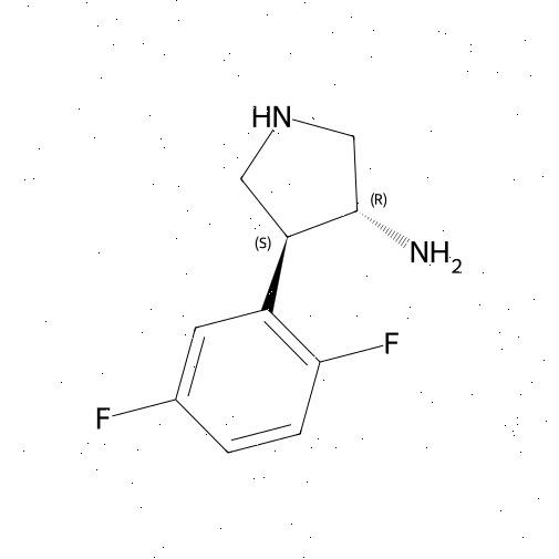 N[C@H]1CNC[C@@H]1c1cc(F)ccc1F